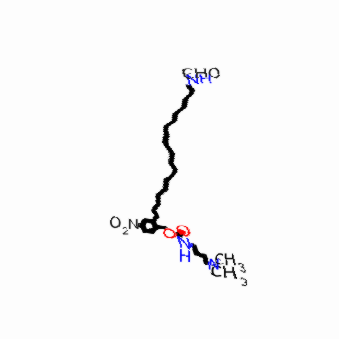 CN(C)CCCCNC(=O)OCc1ccc([N+](=O)[O-])cc1CCCCCCCCCCCCCCCCCCNC=O